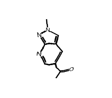 CC(=O)c1cnc2nn(C)cc2c1